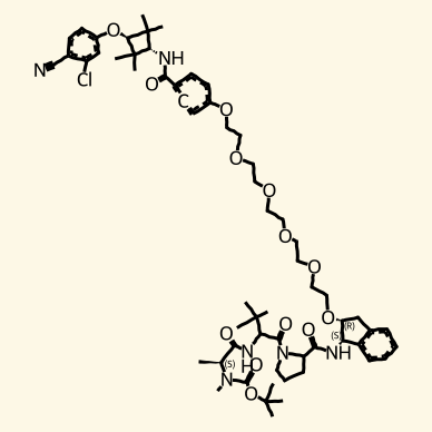 C[C@@H](C(=O)NC(C(=O)N1CCCC1C(=O)N[C@H]1c2ccccc2C[C@H]1OCCOCCOCCOCCOCCOc1ccc(C(=O)N[C@H]2C(C)(C)[C@H](Oc3ccc(C#N)c(Cl)c3)C2(C)C)cc1)C(C)(C)C)N(C)C(=O)OC(C)(C)C